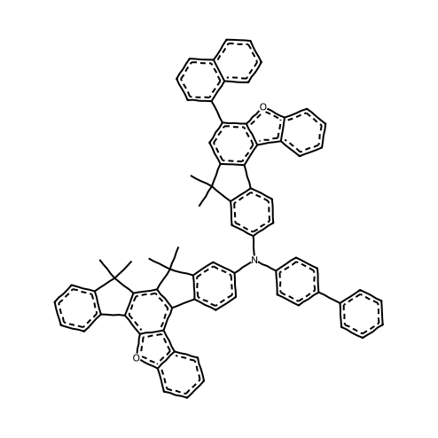 CC1(C)c2cc(N(c3ccc(-c4ccccc4)cc3)c3ccc4c(c3)C(C)(C)c3c5c(c6oc7ccccc7c6c3-4)-c3ccccc3C5(C)C)ccc2-c2c1cc(-c1cccc3ccccc13)c1oc3ccccc3c21